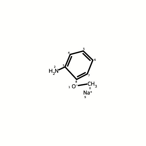 C[O-].Nc1ccccc1.[Na+]